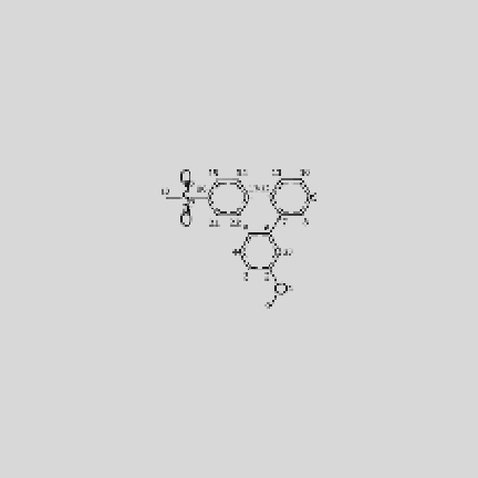 COc1cccc(-c2ccccc2-c2ccc(S(C)(=O)=O)cc2)c1